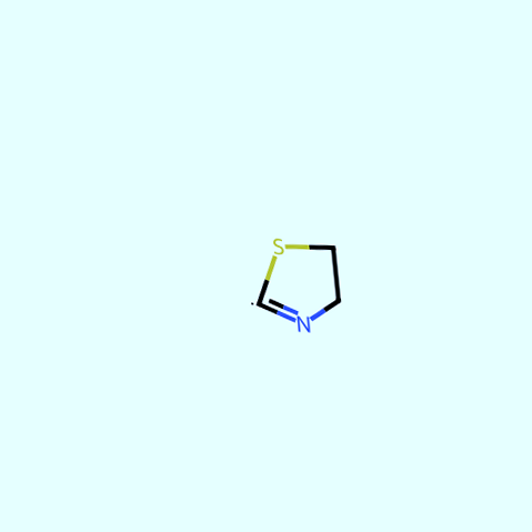 [C]1=NCCS1